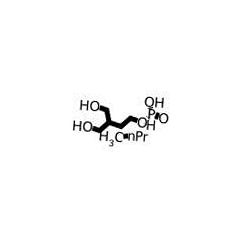 CCCC.O=[PH](O)OCCC(CO)CO